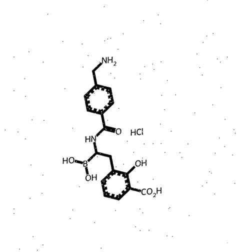 Cl.NCc1ccc(C(=O)NC(Cc2cccc(C(=O)O)c2O)B(O)O)cc1